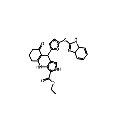 CCOC(=O)c1[nH]cc2c1NC1=C(C(=O)CCC1)C2c1ccc(SC2=NC3C=CC=CC3N2)o1